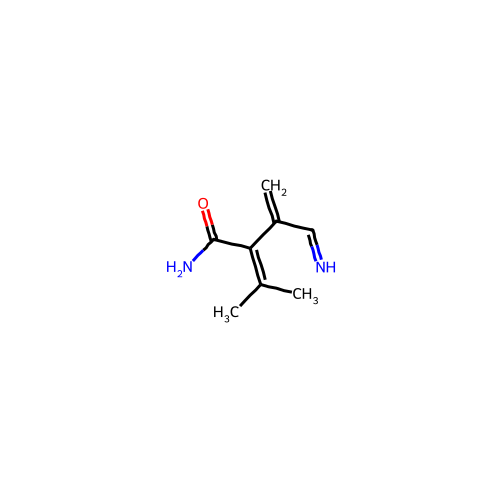 C=C(C=N)C(C(N)=O)=C(C)C